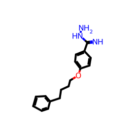 N=C(NN)c1ccc(OCCCCc2ccccc2)cc1